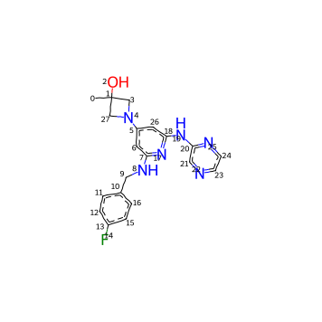 CC1(O)CN(c2cc(NCc3ccc(F)cc3)nc(Nc3cnccn3)c2)C1